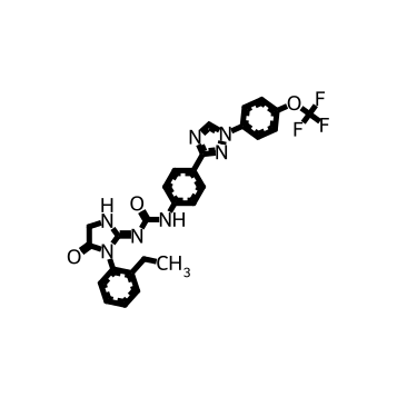 CCc1ccccc1N1C(=O)CN/C1=N\C(=O)Nc1ccc(-c2ncn(-c3ccc(OC(F)(F)F)cc3)n2)cc1